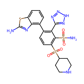 Nc1nc2c(-c3ccc(S(=O)(=O)C4CCNCC4)c(S(N)(=O)=O)c3-c3nn[nH]n3)cccc2s1